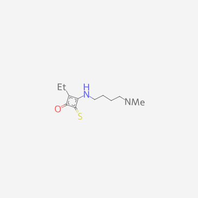 CCc1c(NCCCCNC)c(=S)c1=O